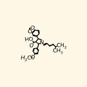 COc1ccc(C2C(C(=O)O)C(c3ccc4c(c3)OCO4)CN2C=CCCC(C)C)cc1